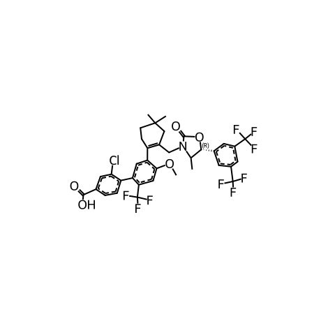 COc1cc(C(F)(F)F)c(-c2ccc(C(=O)O)cc2Cl)cc1C1=C(CN2C(=O)O[C@H](c3cc(C(F)(F)F)cc(C(F)(F)F)c3)C2C)CC(C)(C)CC1